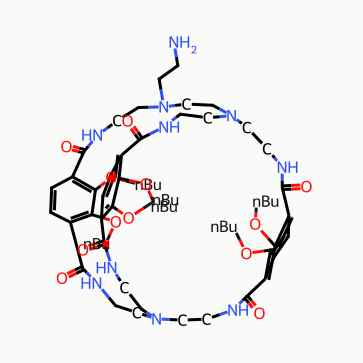 CCCCOc1c2ccc(c1OCCCC)C(=O)NCCN(CCN)CCN1CCNC(=O)c3ccc(c(OCCCC)c3OCCCC)C(=O)NCCN(CCNC2=O)CCNC(=O)c2ccc(c(OCCCC)c2OCCCC)C(=O)NCC1